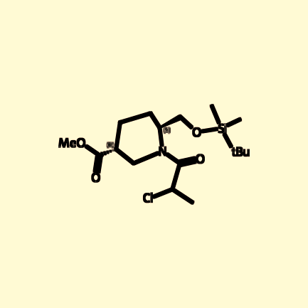 COC(=O)[C@@H]1CC[C@@H](CO[Si](C)(C)C(C)(C)C)N(C(=O)C(C)Cl)C1